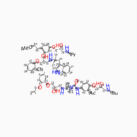 C=CCOc1ccccc1OCC(O)CNC(C)C.CC(C)(Cc1c[nH]c2ccccc12)NCC(O)COc1ccccc1C#N.CCN(CC)C(=O)Nc1ccc(OCC(O)CNC(C)(C)C)c(C(C)=O)c1.COCCc1ccc(OCC(O)CNC(C)C)cc1